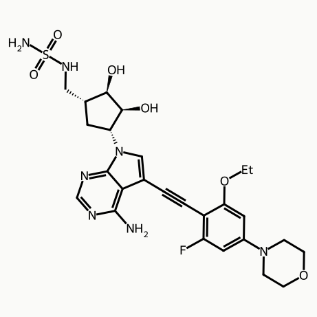 CCOc1cc(N2CCOCC2)cc(F)c1C#Cc1cn([C@@H]2C[C@H](CNS(N)(=O)=O)[C@@H](O)[C@H]2O)c2ncnc(N)c12